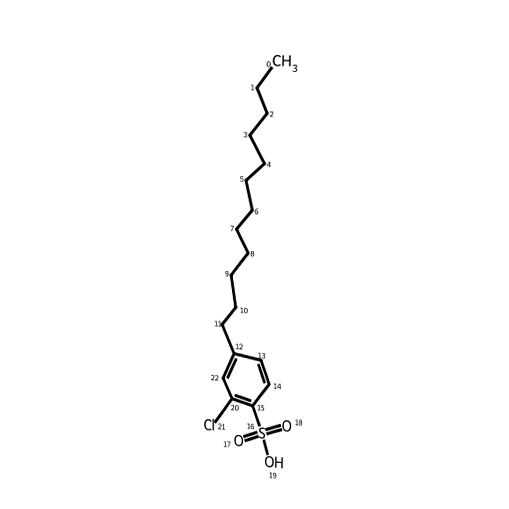 CCCCCCCCCCCCc1ccc(S(=O)(=O)O)c(Cl)c1